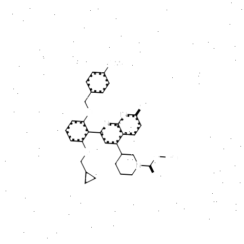 COc1ccc(COc2cccc(OCC3CC3)c2-c2cc(C3CCCN(C(=O)OC(C)(C)C)C3)c3ccc(=O)[nH]c3n2)cc1